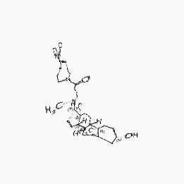 C[C@H](CCC(=O)N1CCS(=O)(=O)CC1)[C@H]1CC[C@H]2[C@@H]3CC=C4C[C@@H](O)CC[C@]4(C)[C@H]3CC[C@]12C